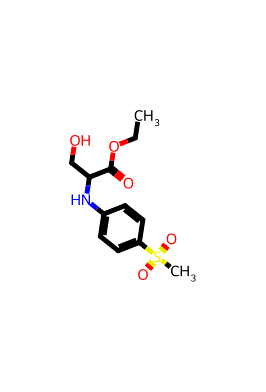 CCOC(=O)C(CO)Nc1ccc(S(C)(=O)=O)cc1